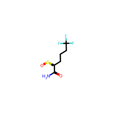 NC(=O)C(CCCC(F)(F)F)=S=O